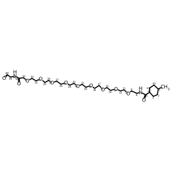 CC1CCC(C(=O)NCCOCCOCCOCCOCCOCCOCCOCCOCCOCC(=O)NCC=O)CC1